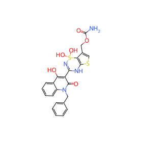 NC(=O)OCc1csc2c1S(O)(O)N=C(c1c(O)c3ccccc3n(Cc3ccccc3)c1=O)N2